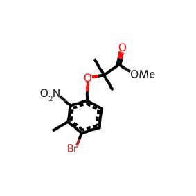 COC(=O)C(C)(C)Oc1ccc(Br)c(C)c1[N+](=O)[O-]